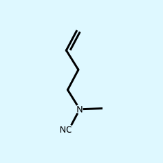 C=CCCN(C)C#N